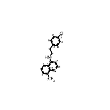 FC(F)(F)c1cccc2c(NCCc3ccc(Cl)cc3)ccnc12